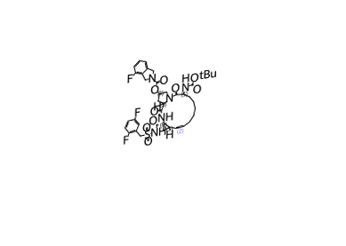 CC(C)(C)OC(=O)N[C@H]1CCCCC/C=C\[C@@H]2C[C@@]2(C(=O)NS(=O)(=O)Cc2cc(F)ccc2F)NC(=O)[C@@H]2C[C@@H](OC(=O)N3Cc4cccc(F)c4C3)CN2C1=O